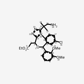 CCOC(=O)CC1OC(c2cccc(OC)c2OC)c2cc(Cl)ccc2-n2c1nnc2C(C)(C)CN